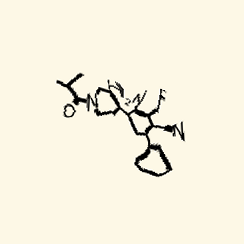 CC(C)C(=O)N1CC=C(c2cc(-c3ccccc3)c(C#N)c(F)c2N)CC1